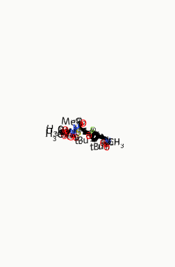 COC(=O)c1nc(N(CC2COC(C)(C)O2)C(=O)OC(C)(C)C)sc1CCCOc1ccc(C#CCN(C)C(=O)OC(C)(C)C)cc1F